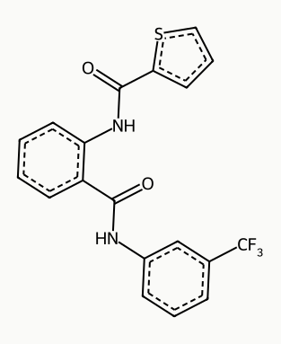 O=C(Nc1ccccc1C(=O)Nc1cccc(C(F)(F)F)c1)c1cccs1